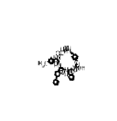 Cc1ccc(C[C@H]2NC(=O)C[C@@H](O)C(=O)Nc3ccc(cc3)C[C@@H](C(=O)O)NC(=O)[C@@H](Cc3ccccc3)NC(=O)[C@H](Cc3ccc(-c4ccccc4)cc3)NC2=O)cc1